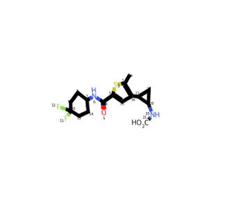 Cc1sc(C(=O)NC2CCC(F)(F)CC2)cc1C1CC1NC(=O)O